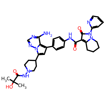 CC(C)(O)C(=O)NN1CCC(c2cc(-c3ccc(NC(=O)c4c5n(n(-c6ccccn6)c4=O)CCCC5)cc3)c3c(N)ncnn23)CC1